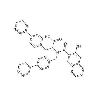 O=C(O)C(Cc1ccc(-c2cccnc2)cc1)N(Cc1ccc(-c2cccnc2)cc1)C(=O)c1cc2ccccc2cc1O